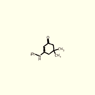 CC(C)NC1=CC(=O)CC(C)(C)C1